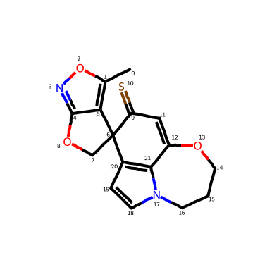 Cc1onc2c1C1(CO2)C(=S)C=C2OCCCn3ccc1c32